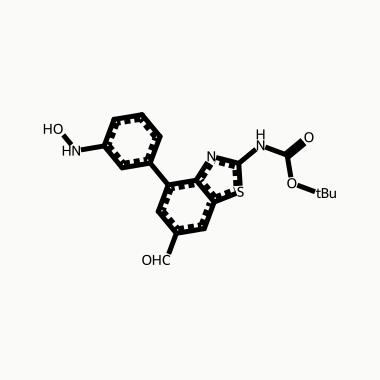 CC(C)(C)OC(=O)Nc1nc2c(-c3cccc(NO)c3)cc(C=O)cc2s1